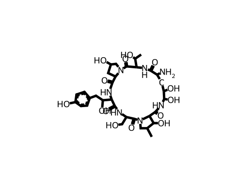 CC(O)C1NC(=O)C(N)CC(O)C(O)NC(=O)C2C(O)C(C)CN2C(=O)C(CO)NC(=O)C(C(O)Cc2ccc(O)cc2)NC(=O)C2CC(O)CN2C1=O